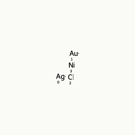 [Ag].[Au].[C].[Ni]